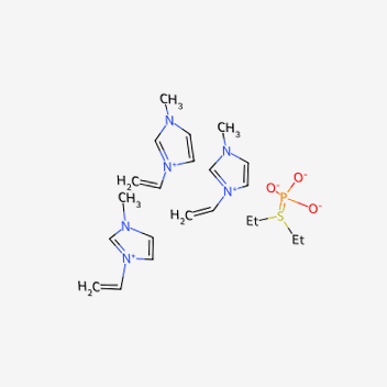 C=C[n+]1ccn(C)c1.C=C[n+]1ccn(C)c1.C=C[n+]1ccn(C)c1.CCS(CC)=P([O-])([O-])[O-]